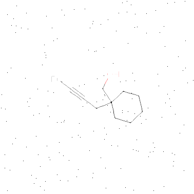 CCC#CCC1(CO)CCCCC1